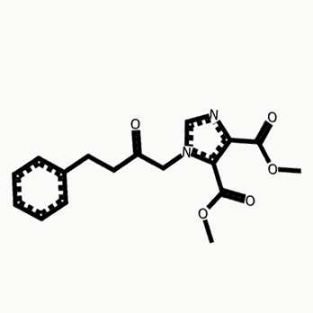 COC(=O)c1ncn(CC(=O)CCc2ccccc2)c1C(=O)OC